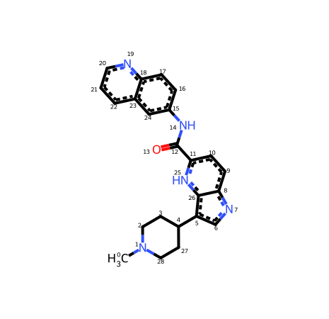 CN1CCC(c2cnc3ccc(C(=O)Nc4ccc5ncccc5c4)[nH]c2-3)CC1